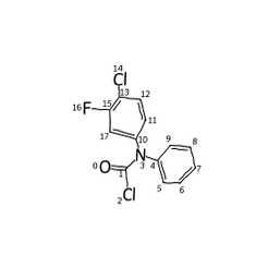 O=C(Cl)N(c1ccccc1)c1ccc(Cl)c(F)c1